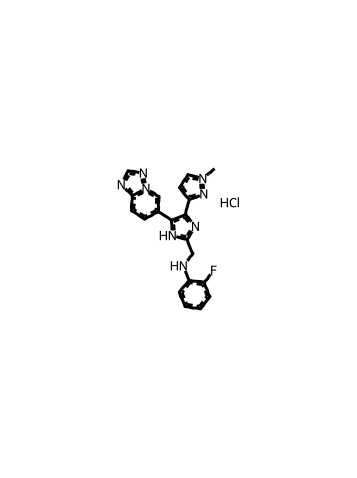 Cl.Cn1ccc(-c2nc(CNc3ccccc3F)[nH]c2-c2ccc3ncnn3c2)n1